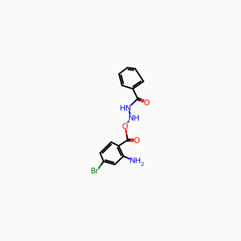 Nc1cc(Br)ccc1C(=O)ONNC(=O)c1ccccc1